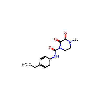 CCN1CCN(C(=O)Nc2ccc(CC(=O)O)cc2)C(=O)C1=O